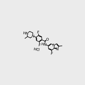 Cc1cn2cc(NC(=O)c3cc(F)c(N4CCNC(C)C4)cc3F)cc(F)c2n1.Cl